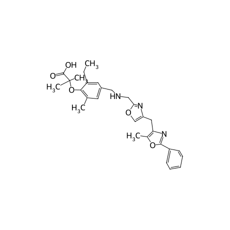 CCc1cc(CNCc2nc(Cc3nc(-c4ccccc4)oc3C)co2)cc(C)c1OC(C)(C)C(=O)O